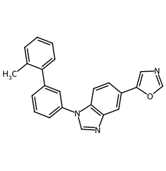 Cc1ccccc1-c1cccc(-n2cnc3cc(-c4cnco4)ccc32)c1